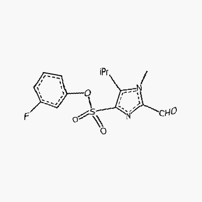 CC(C)c1c(S(=O)(=O)Oc2cccc(F)c2)nc(C=O)n1C